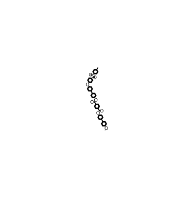 COc1ccc(-c2ccc(OC(=O)c3ccc(C(=O)Oc4ccc(-c5ccc(Oc6ccc(S(=O)(=O)c7ccc(C)cc7)cc6)cc5)cc4)cc3)cc2)cc1